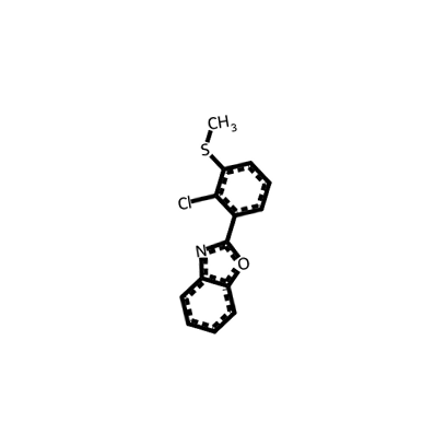 CSc1cccc(-c2nc3ccccc3o2)c1Cl